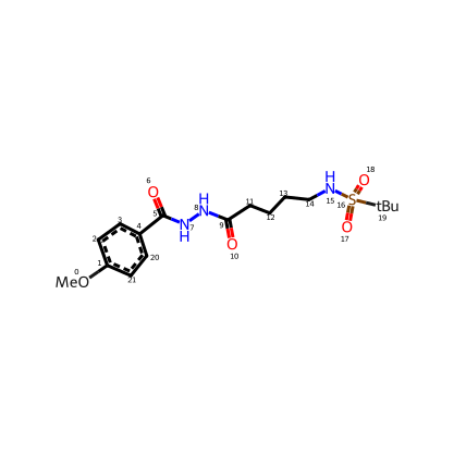 COc1ccc(C(=O)NNC(=O)CCCCNS(=O)(=O)C(C)(C)C)cc1